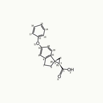 O=C(O)[C@@H]1C[C@]12CCc1cc(Oc3ccccc3)ccc12